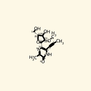 CC#Cc1[nH]c(=O)c(C)nc1[C@@H]1O[C@H](CO)C(O)[C@@H]1OC